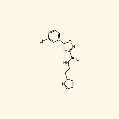 O=C(NCCn1cccn1)c1cc(-c2cccc(Cl)c2)on1